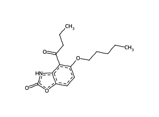 CCCCCOc1ccc2oc(=O)[nH]c2c1C(=O)CCC